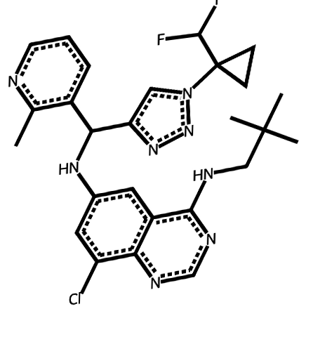 Cc1ncccc1C(Nc1cc(Cl)c2ncnc(NCC(C)(C)C)c2c1)c1cn(C2(C(F)F)CC2)nn1